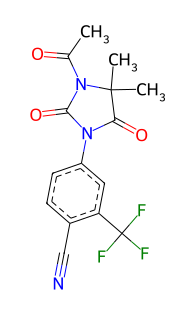 CC(=O)N1C(=O)N(c2ccc(C#N)c(C(F)(F)F)c2)C(=O)C1(C)C